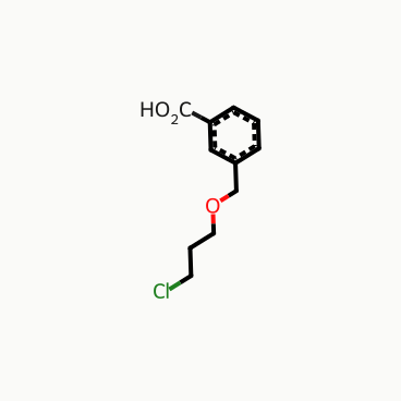 O=C(O)c1cccc(COCCCCl)c1